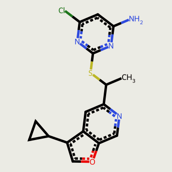 CC(Sc1nc(N)cc(Cl)n1)c1cc2c(C3CC3)coc2cn1